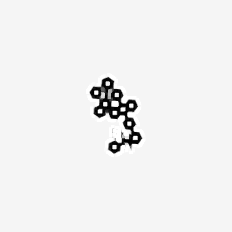 CCn1c(-c2ccccc2)nc2cccc(-c3ccc(-c4c5ccccc5c(-c5cccc([Si](c6ccccc6)(c6ccccc6)c6ccc7ccccc7c6)c5)c5ccccc45)cc3)c21